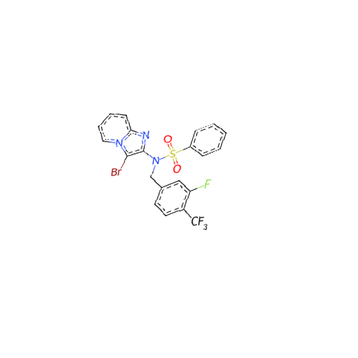 O=S(=O)(c1ccccc1)N(Cc1ccc(C(F)(F)F)c(F)c1)c1nc2ccccn2c1Br